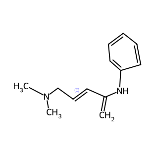 C=C(/C=C/CN(C)C)Nc1ccccc1